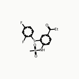 CCC(=O)c1ccc(NS(C)(=O)=O)c(Sc2ccc(F)cc2F)c1